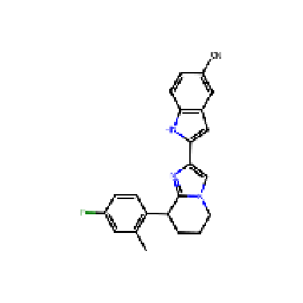 Cc1cc(F)ccc1C1CCCn2cc(-c3cc4cc(C#N)ccc4[nH]3)nc21